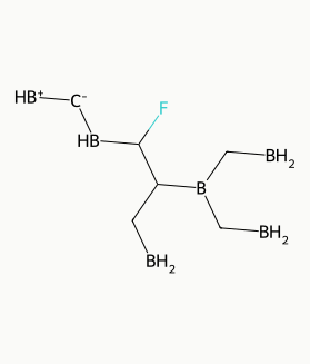 [BH+][CH-]BC(F)C(CB)B(CB)CB